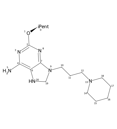 CCC[C@H](C)Oc1nc(N)c2c(n1)N(CCCN1CCCCC1)CN2